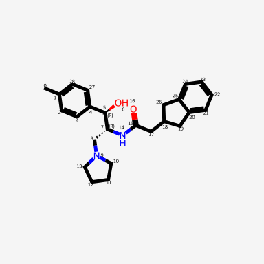 Cc1ccc([C@@H](O)[C@@H](CN2CCCC2)NC(=O)CC2Cc3ccccc3C2)cc1